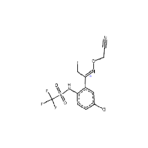 CC/C(=N\OCC#N)c1cc(Cl)ccc1NS(=O)(=O)C(F)(F)F